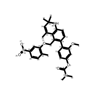 COc1cc(OC(=O)N(C)C)ccc1-c1ccc2c(c1COc1cc([N+](=O)[O-])ccc1C)C(C)=CC(C)(C)N2